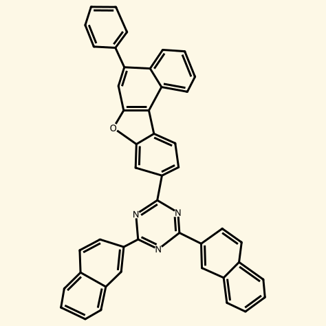 c1ccc(-c2cc3oc4cc(-c5nc(-c6ccc7ccccc7c6)nc(-c6ccc7ccccc7c6)n5)ccc4c3c3ccccc23)cc1